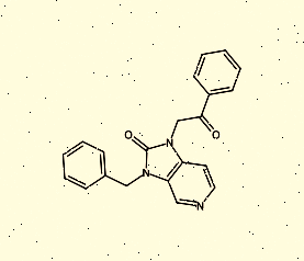 O=C(Cn1c(=O)n(Cc2ccccc2)c2cnccc21)c1ccccc1